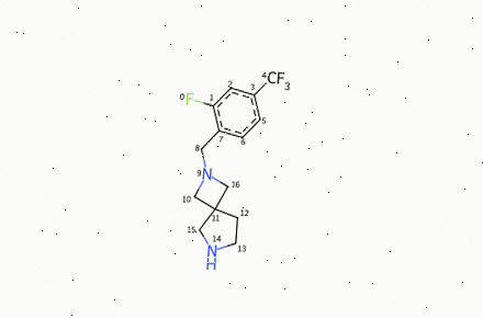 Fc1cc(C(F)(F)F)ccc1CN1CC2(CCNC2)C1